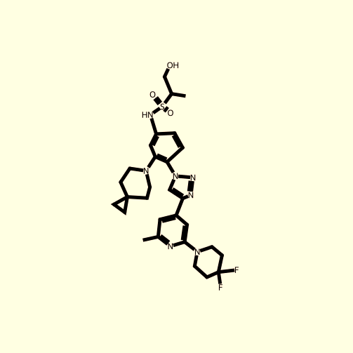 Cc1cc(-c2cn(-c3ccc(NS(=O)(=O)C(C)CO)cc3N3CCC4(CC3)CC4)nn2)cc(N2CCC(F)(F)CC2)n1